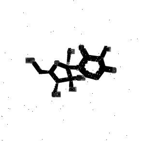 CC(=O)n1c(=O)ccn([C@]2(C(C)=O)O[C@H](CO)[C@@H](O)[C@]2(O)C(C)=O)c1=O